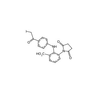 O=C(CI)c1ccc(Nc2c(C(=O)O)cccc2N2C(=O)CCC2=O)cc1